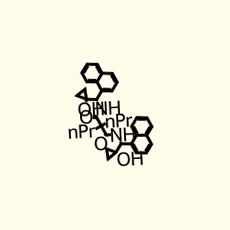 CCCC(CCC)(C(=O)N[C@@H](c1cccc2ccccc12)C1(O)CC1)C(=O)N[C@@H](c1cccc2ccccc12)C1(O)CC1